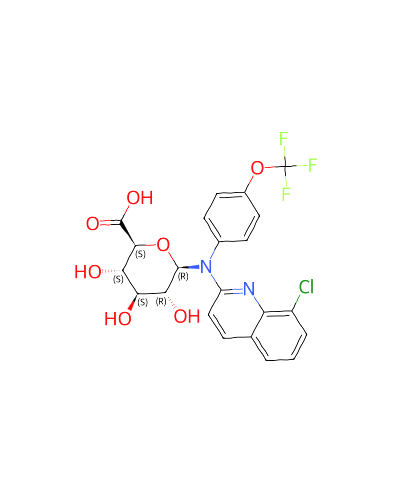 O=C(O)[C@H]1O[C@@H](N(c2ccc(OC(F)(F)F)cc2)c2ccc3cccc(Cl)c3n2)[C@H](O)[C@@H](O)[C@@H]1O